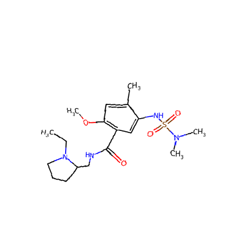 CCN1CCCC1CNC(=O)c1cc(NS(=O)(=O)N(C)C)c(C)cc1OC